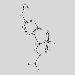 CN(C)CCN(c1ccc(CN)cn1)S(C)(=O)=O